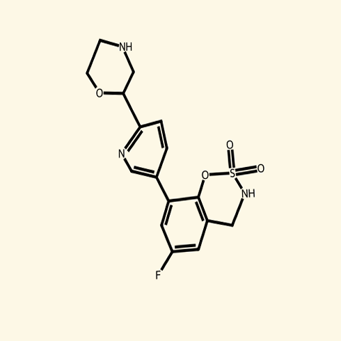 O=S1(=O)NCc2cc(F)cc(-c3ccc(C4CNCCO4)nc3)c2O1